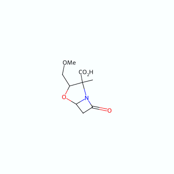 COCC1OC2CC(=O)N2C1(C)C(=O)O